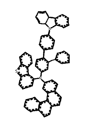 C1=CC2c3ccccc3N(c3ccc(-c4ccc(N(c5ccc6ccc7ccc8ccccc8c7c6c5)c5cccc6sc7ccccc7c56)cc4-c4ccccc4)cc3)C2C=C1